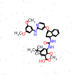 COc1cc(Nc2cc(Oc3ccc(NC(=O)Nc4cc(C(C)(C)C)cc(C(=O)O)c4OC)c4ccccc34)ccn2)cc(OC)c1